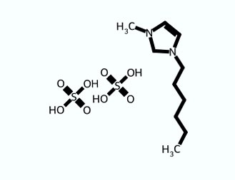 CCCCCCN1C=CN(C)C1.O=S(=O)(O)O.O=S(=O)(O)O